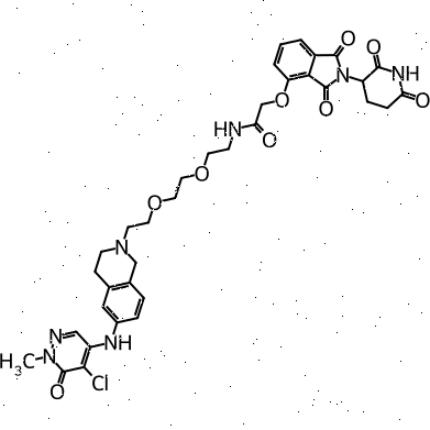 Cn1ncc(Nc2ccc3c(c2)CCN(CCOCCOCCNC(=O)COc2cccc4c2C(=O)N(C2CCC(=O)NC2=O)C4=O)C3)c(Cl)c1=O